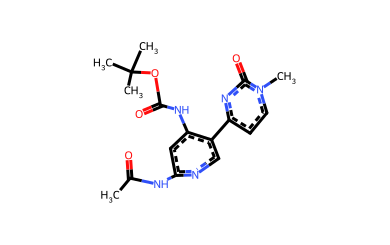 CC(=O)Nc1cc(NC(=O)OC(C)(C)C)c(-c2ccn(C)c(=O)n2)cn1